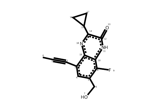 CC#Cc1cc(CO)c(F)c2[nH]c(=O)c(C3CC3)nc12